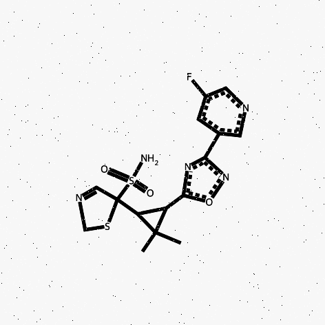 CC1(C)C(c2nc(-c3cncc(F)c3)no2)C1C1(S(N)(=O)=O)C=NCS1